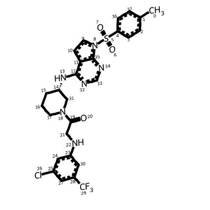 Cc1ccc(S(=O)(=O)n2ccc3c(N[C@H]4CCCN(C(=O)CNc5cc(Cl)cc(C(F)(F)F)c5)C4)ncnc32)cc1